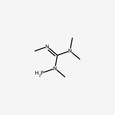 CN=C(N(C)C)N(C)P